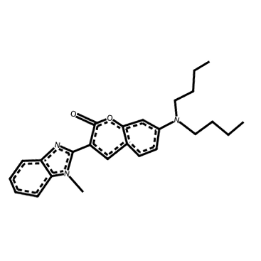 CCCCN(CCCC)c1ccc2cc(-c3nc4ccccc4n3C)c(=O)oc2c1